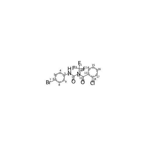 O=C(Nc1ccc(Br)cc1)N(C(=O)c1ccccc1Cl)C(F)(F)F